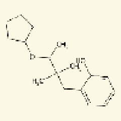 CC(OC1CCCC1)C(C)(C)Cc1ccccc1O